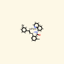 CCCCCC(=CCc1cccc(C)c1C(=O)Nc1cccc2cccnc12)c1cccc(C(C)=O)c1